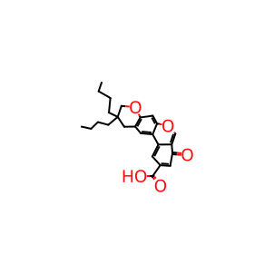 CCCCC1(CCCC)COc2cc3occ4c(=O)cc(C(=O)O)cc-4c3cc2C1